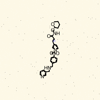 O=C(/C=C/c1ccn(S(=O)(=O)c2ccc(CNCc3cccnc3)cc2)c1)NOC1CCCCO1